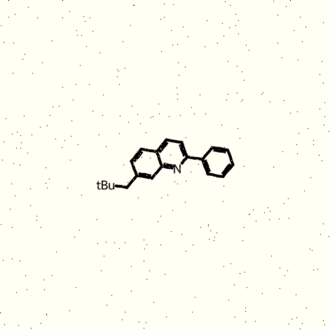 CC(C)(C)Cc1ccc2ccc(-c3ccccc3)nc2c1